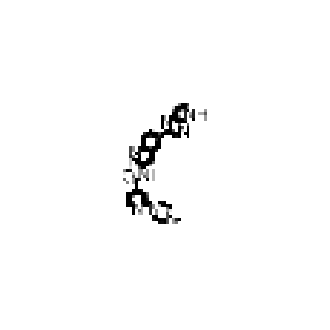 CN1CCN(c2cc(C(=O)Nc3cc4cc(-c5cnc6[nH]ccc6n5)ccc4nn3)ccn2)CC1